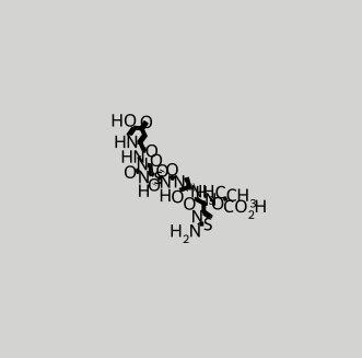 CC(C)(ON=C(C(=O)N[C@H]1CN(C(=O)NS(=O)(=O)C2NC(=O)N(NC(=O)c3cc(=O)c(O)c[nH]3)C2=O)C1=O)c1csc(N)n1)C(=O)O